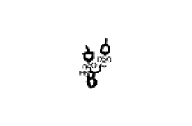 Cc1ccc(S(=O)(=O)OCCc2c(S(=O)(=O)c3ccc(C)cc3)[nH]c3ccccc23)cc1